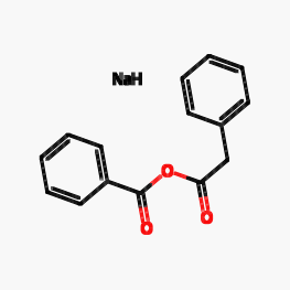 O=C(Cc1ccccc1)OC(=O)c1ccccc1.[NaH]